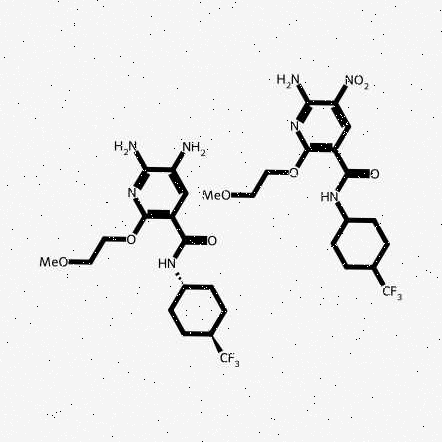 COCCOc1nc(N)c(N)cc1C(=O)N[C@H]1CC[C@H](C(F)(F)F)CC1.COCCOc1nc(N)c([N+](=O)[O-])cc1C(=O)NC1CCC(C(F)(F)F)CC1